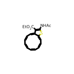 CCOC(=O)c1c(NC(C)=O)sc2c1=CC=CC=CC=CC=CC=2